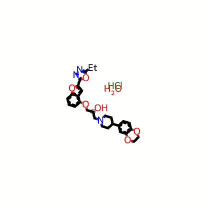 CCc1nnc(-c2cc3c(OC[C@@H](O)CN4CCC(c5ccc6c(c5)OCCO6)CC4)cccc3o2)o1.Cl.O